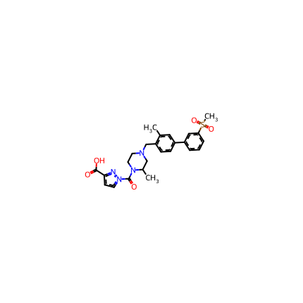 Cc1cc(-c2cccc(S(C)(=O)=O)c2)ccc1CN1CCN(C(=O)n2ccc(C(=O)O)n2)C(C)C1